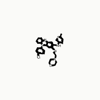 Cc1ccc(Nc2cc3nc4ccccc4n(-c4ccc(Cl)cc4)c-3c/c2=N\CCN2CCOCC2)cn1